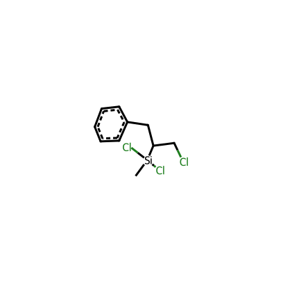 C[Si](Cl)(Cl)C(CCl)Cc1ccccc1